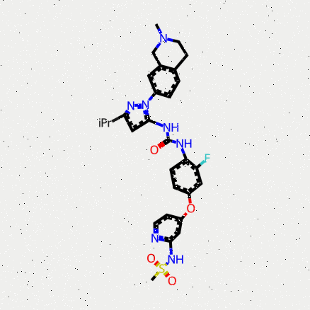 CC(C)c1cc(NC(=O)Nc2ccc(Oc3ccnc(NS(C)(=O)=O)c3)cc2F)n(-c2ccc3c(c2)CN(C)CC3)n1